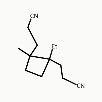 CCC1(CCC#N)CCC1(C)CCC#N